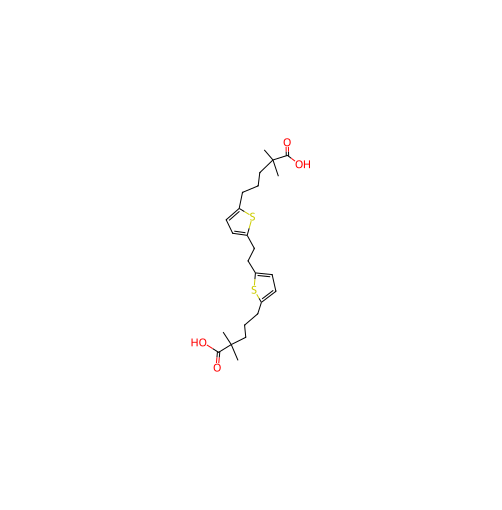 CC(C)(CCCc1ccc(CCc2ccc(CCCC(C)(C)C(=O)O)s2)s1)C(=O)O